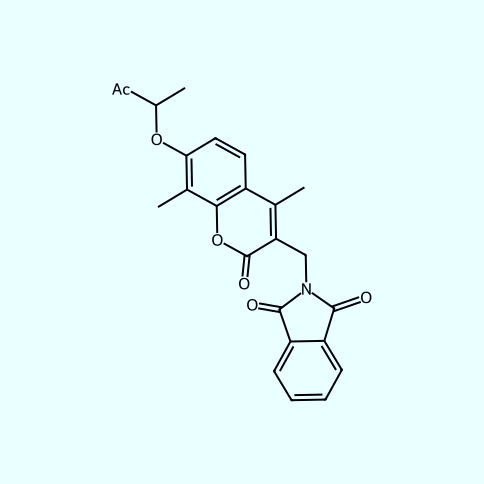 CC(=O)C(C)Oc1ccc2c(C)c(CN3C(=O)c4ccccc4C3=O)c(=O)oc2c1C